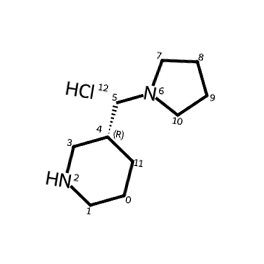 C1CNC[C@H](CN2CCCC2)C1.Cl